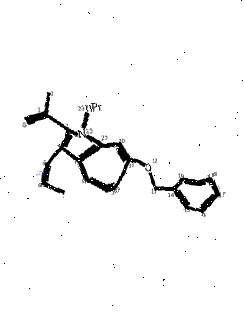 C=C(C)c1c(/C=C\C)c2ccc(OCc3ccccc3)cc2n1CCC